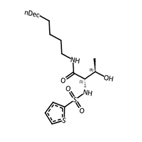 CCCCCCCCCCCCCCNC(=O)[C@@H](NS(=O)(=O)c1cccs1)[C@@H](C)O